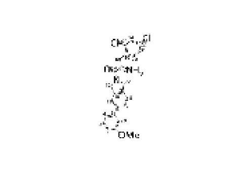 COc1cccc(-c2ccc3c(c2)CN(C(=O)C(N)Cc2ccc(Cl)cc2Cl)C3)c1